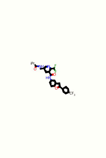 CC(C)C(=O)NCc1cnc(C(F)F)c(C(=O)Nc2ccc3oc(-c4ccc(C(F)(F)F)cc4)cc3c2)c1